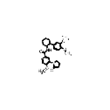 COc1ccc(C2CCCCC2NC(=O)c2ccc(OC)c(N3CCCC3=O)c2)cc1OC